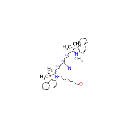 C[N+]1=C(/C=C/C=C(C#N)/C=C/C=C2\N(CCCCCC=O)c3ccc4ccccc4c3C2(C)C)C(C)(C)c2c1ccc1ccccc21